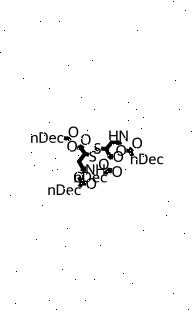 CCCCCCCCCCC(=O)OC(=N)CC(SSC(CC(=N)OC(=O)CCCCCCCCCC)C(=O)OC(=O)CCCCCCCCCC)C(=O)OC(=O)CCCCCCCCCC